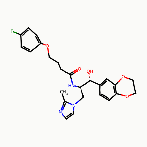 Cc1nccn1C[C@@H](NC(=O)CCCOc1ccc(F)cc1)[C@H](O)c1ccc2c(c1)OCCO2